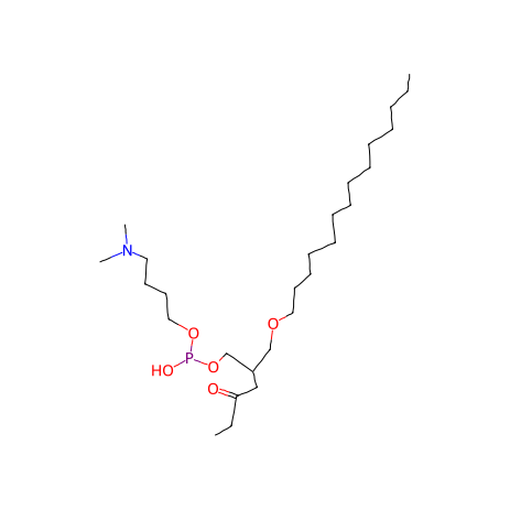 CCCCCCCCCCCCCCOCC(COP(O)OCCCCN(C)C)CC(=O)CC